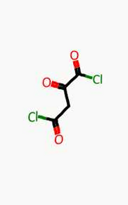 O=C(Cl)CC(=O)C(=O)Cl